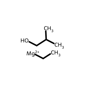 CC(C)CO.C[CH2][Mg+2]